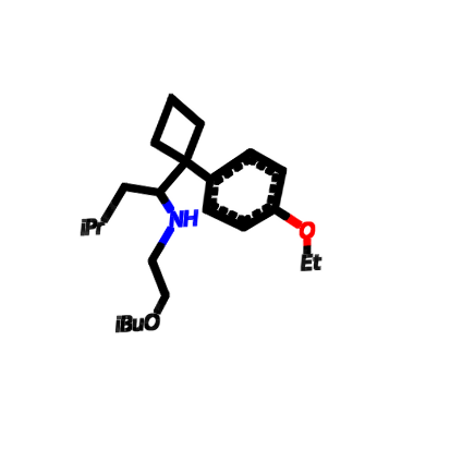 CCOc1ccc(C2(C(CC(C)C)NCCOCC(C)C)CCC2)cc1